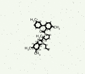 Cc1cccc(-c2ccc(C)cc2C(=O)N2CCCC2(C)c2nc3cc(C)c(C)cc3n2CCF)c1